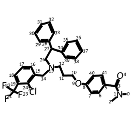 CN(C)C(=O)c1ccc(OCCCN(Cc2cccc(C(F)(F)F)c2Cl)CC(c2ccccc2)c2ccccc2)cc1